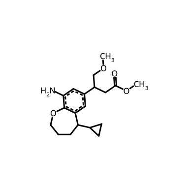 COCC(CC(=O)OC)c1cc(N)c2c(c1)C(C1CC1)CCCO2